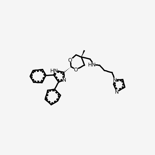 C[C@]1(CNCCCn2ccnc2)CO[C@@H](c2nc(-c3ccccc3)c(-c3ccccc3)[nH]2)OC1